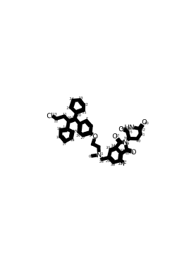 CN(CCOc1ccc(C(=C(CCCl)c2ccccc2)c2ccccc2)cc1)Cc1cc(F)c2c(c1)C(=O)N(C1CCC(=O)NC1=O)C2=O